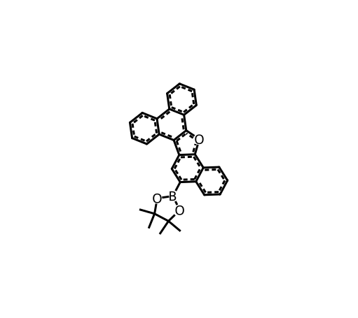 CC1(C)OB(c2cc3c(oc4c5ccccc5c5ccccc5c34)c3ccccc23)OC1(C)C